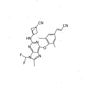 Cc1cc(/C=C/C#N)cc(C)c1Oc1nc(NC23CC(C#N)(C2)C3)nc2c1nc(C)n2C(F)F